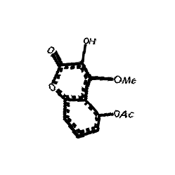 COc1c(O)c(=O)oc2cccc(OC(C)=O)c12